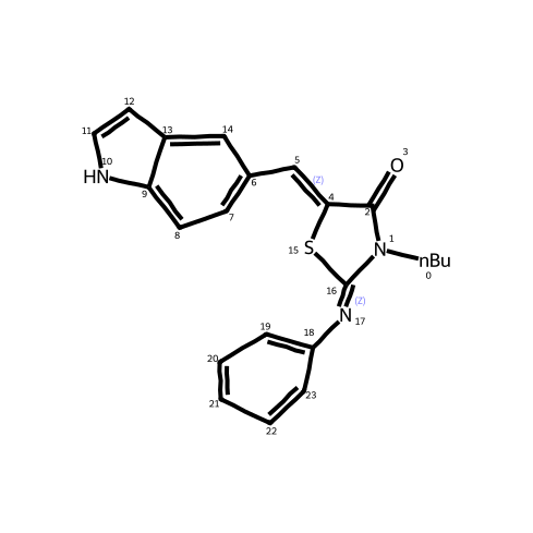 CCCCN1C(=O)/C(=C/c2ccc3[nH]ccc3c2)S/C1=N\c1ccccc1